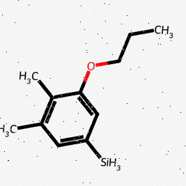 CCCOc1cc([SiH3])cc(C)c1C